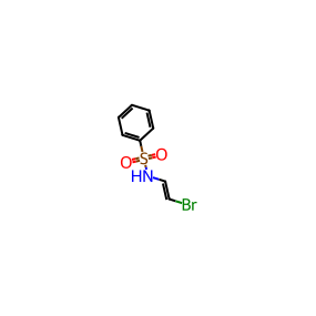 O=S(=O)(NC=CBr)c1ccccc1